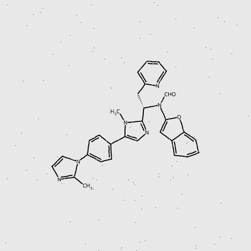 Cc1nccn1-c1ccc(-c2cnc([C@H](Cc3ccccn3)N(C=O)c3cc4ccccc4o3)n2C)cc1